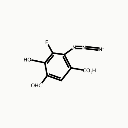 [N-]=[N+]=Nc1c(C(=O)O)cc(C=O)c(O)c1F